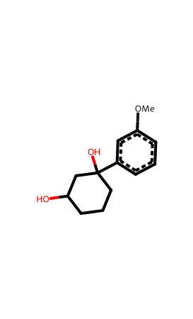 COc1cccc(C2(O)CCCC(O)C2)c1